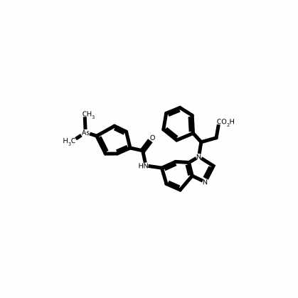 C[As](C)c1ccc(C(=O)Nc2ccc3ncn(C(CC(=O)O)c4ccccc4)c3c2)cc1